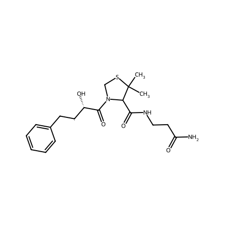 CC1(C)SCN(C(=O)[C@@H](O)[CH]Cc2ccccc2)C1C(=O)NCCC(N)=O